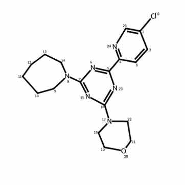 Clc1ccc(-c2nc(N3CCCCCC3)nc(N3CCOCC3)n2)nc1